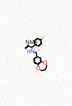 C=C(NC)[C@H](N[C@H](C)c1ccc2c(c1)OCCCO2)c1ccc(F)cc1